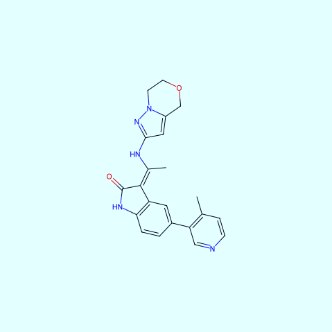 CC(Nc1cc2n(n1)CCOC2)=C1C(=O)Nc2ccc(-c3cnccc3C)cc21